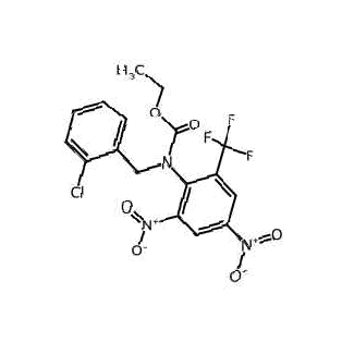 CCOC(=O)N(Cc1ccccc1Cl)c1c([N+](=O)[O-])cc([N+](=O)[O-])cc1C(F)(F)F